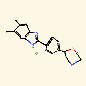 Cc1cc2nc(-c3ccc(C4CNCCO4)cc3)[nH]c2cc1C.Cl